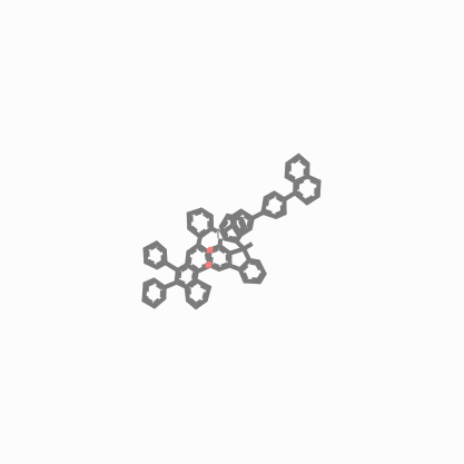 CC1(c2ccccc2)c2ccccc2-c2cccc(N(c3ccc(-c4ccc(-c5cccc6ccccc56)cc4)cc3)c3ccccc3-c3ccc4c(c3)c(-c3ccccc3)c(-c3ccccc3)c3ccccc34)c21